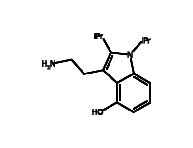 CC(C)c1c(CCN)c2c(O)cccc2n1C(C)C